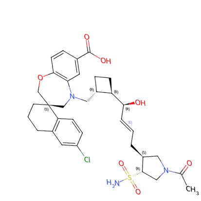 CC(=O)N1C[C@H](C/C=C/[C@H](O)[C@@H]2CC[C@H]2CN2C[C@@]3(CCCc4cc(Cl)ccc43)COc3ccc(C(=O)O)cc32)[C@@H](S(N)(=O)=O)C1